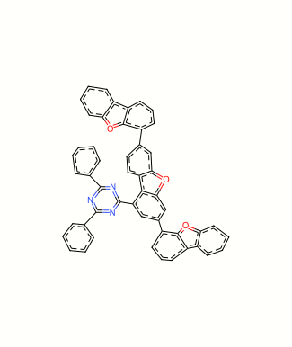 c1ccc(-c2nc(-c3ccccc3)nc(-c3cc(-c4cccc5c4oc4ccccc45)cc4oc5cc(-c6cccc7c6oc6ccccc67)ccc5c34)n2)cc1